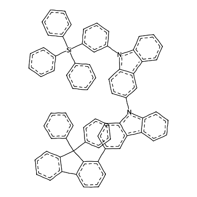 c1ccc(C2(c3ccccc3)c3ccccc3-c3cccc(-c4ccc5c(c4)c4ccccc4n5-c4ccc5c(c4)c4ccccc4n5-c4cccc([Si](c5ccccc5)(c5ccccc5)c5ccccc5)c4)c32)cc1